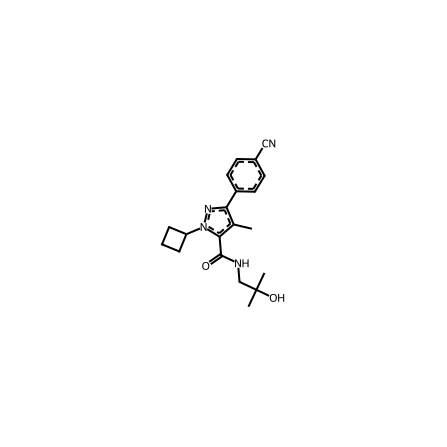 Cc1c(-c2ccc(C#N)cc2)nn(C2CCC2)c1C(=O)NCC(C)(C)O